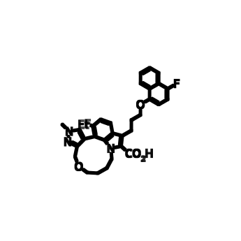 CCc1c2c(nn1C)COCCCCn1c(C(=O)O)c(CCCOc3ccc(F)c4ccccc34)c3ccc(F)c-2c31